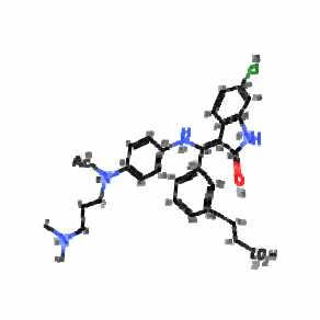 CC(=O)N(CCCN(C)C)c1ccc(NC(=C2C(=O)Nc3cc(Cl)ccc32)c2cccc(CCC(=O)O)c2)cc1